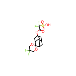 O=C(OC12CC3CC(C1)C1(OCC(F)(F)CO1)C(C3)C2)C(F)(F)S(=O)(=O)O